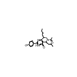 CCCCC1CN(C(C)=O)C(CC(C)=O)c2c1nc(-c1ccc(Cl)cc1)[nH]c2=O